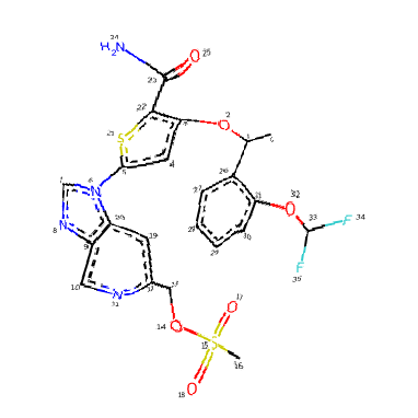 CC(Oc1cc(-n2cnc3cnc(COS(C)(=O)=O)cc32)sc1C(N)=O)c1ccccc1OC(F)F